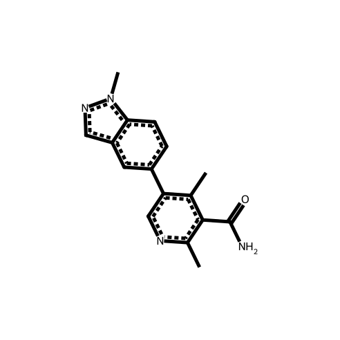 Cc1ncc(-c2ccc3c(cnn3C)c2)c(C)c1C(N)=O